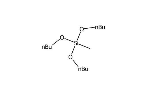 [CH2][Si](OCCCC)(OCCCC)OCCCC